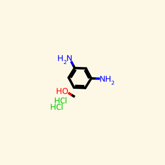 CO.Cl.Cl.Nc1cccc(N)c1